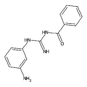 N=C(NC(=O)c1ccccc1)Nc1cccc(N)c1